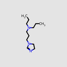 CCCN(CCC)CCCN1C=NCC1